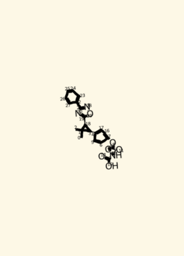 CC1(C)[C@@H](c2ccc(OS(=O)(=O)NC(=O)O)cc2)[C@@H]1c1nc(-c2ccccc2)no1